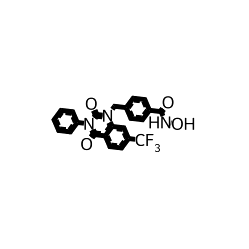 O=C(NO)c1ccc(Cn2c(=O)n(-c3ccccc3)c(=O)c3ccc(C(F)(F)F)cc32)cc1